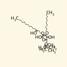 CCCCCCCCCCC[C@@H](O)CCO[C@@H]1[C@@H](OCCCCCCCCCC)[C@H](O)[C@@H](CO[Si](C)(C)C(C)(C)C)O[C@@H]1O